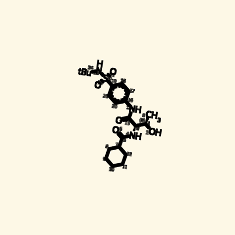 C[C@@H](O)[C@H](NC(=O)C1CCCCC1)C(=O)Nc1ccc(S(=O)(=O)NC(C)(C)C)cc1